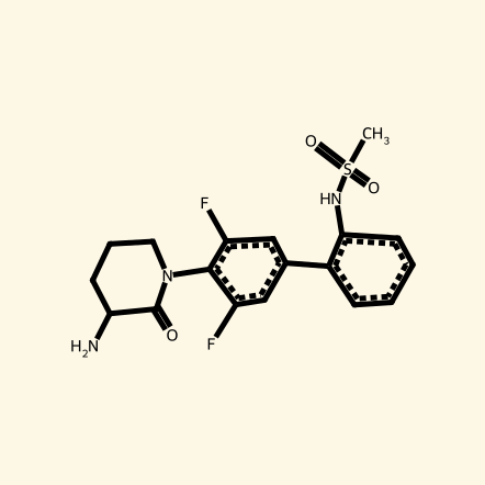 CS(=O)(=O)Nc1ccccc1-c1cc(F)c(N2CCCC(N)C2=O)c(F)c1